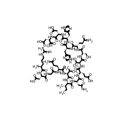 CC[C@H](C)[C@H](NC(=O)[C@@H](NC(=O)[C@H](CCC(N)=O)NC(=O)CNC(=O)[C@H](CC(=O)O)NC(=O)[C@@H](N)CCCNC(=N)N)C(C)C)C(=O)N[C@@H](CC(N)=O)C(=O)N[C@@H](CCC(=O)O)C(=O)N[C@H](C(=O)N[C@@H](CO)C(=O)N[C@@H](CCC(N)=O)C(=O)N[C@@H](Cc1c[nH]cn1)C(=O)N[C@@H](Cc1c[nH]cn1)C(=O)N[C@@H](CC(=O)O)C(=O)N[C@@H](CC(=O)O)C(=O)O)[C@@H](C)O